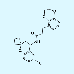 O=C(CCc1cccc2c1OCCO2)NC1CC2(CCC2)Oc2ccc(Cl)cc21